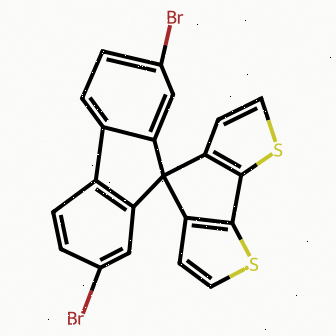 Brc1ccc2c(c1)C1(c3cc(Br)ccc3-2)c2ccsc2-c2sccc21